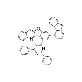 c1ccc(-c2nc(-c3ccccc3)nc(-c3cc(-c4cccc5sc6ccccc6c45)cc4oc5cc6ccccc6nc5c34)n2)cc1